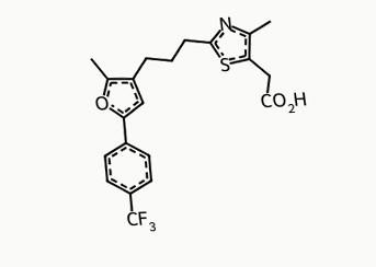 Cc1nc(CCCc2cc(-c3ccc(C(F)(F)F)cc3)oc2C)sc1CC(=O)O